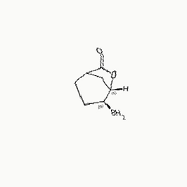 B[C@H]1CCC2C[C@@H]1OC2=O